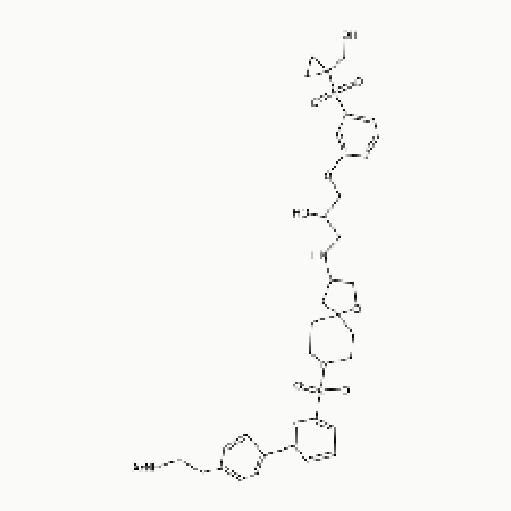 CC(=O)NCCc1ccc(-c2cccc(S(=O)(=O)N3CCC4(CC3)CC(NCC(O)COc3cccc(S(=O)(=O)C5(CO)CC5)c3)CO4)c2)cc1